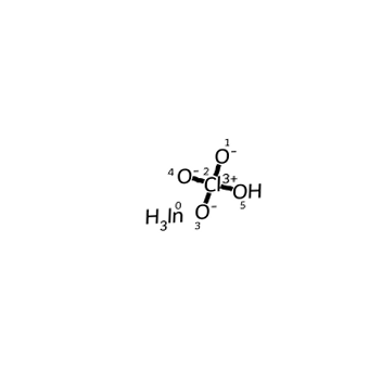 [InH3].[O-][Cl+3]([O-])([O-])O